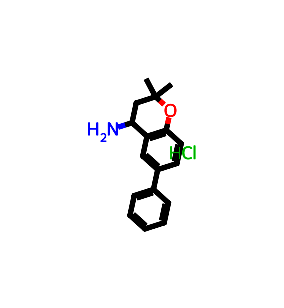 CC1(C)CC(N)c2cc(-c3ccccc3)ccc2O1.Cl